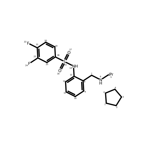 C1CCCC1.CC(C)NCc1ccccc1NS(=O)(=O)c1ccc(F)c(F)c1